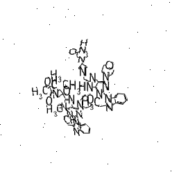 CCc1nc2ccccc2n1-c1nc(N2CCOCC2)c2nc(C3(OC)CN(C(=O)C(C)(C)O)C3)n(C)c2n1.CCc1nc2ccccc2n1-c1nc(N2CCOCC2)c2nc(CN3CC(N4CCNC(=O)C4)C3)[nH]c2n1